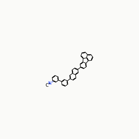 [C-]#[N+]c1cccc(-c2cccc(-c3ccc4cc(-c5ccc6c(c5)-c5cccc7cccc-6c57)ccc4c3)c2)c1